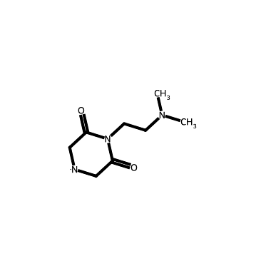 CN(C)CCN1C(=O)C[N]CC1=O